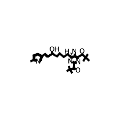 Cc1ccc(C=CC(O)CCCCc2nc(C(=O)C(C)(C)C)nc(C(=O)C(C)(C)C)c2N)cn1